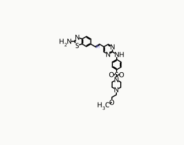 COCCN1CCN(S(=O)(=O)c2ccc(Nc3ncc(/C=C/c4ccc5nc(N)sc5c4)cn3)cc2)CC1